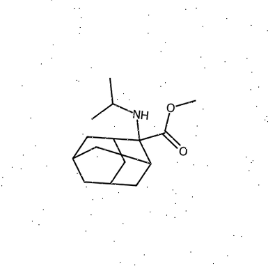 COC(=O)C1(NC(C)C)C2CC3CC(C2)CC1C3